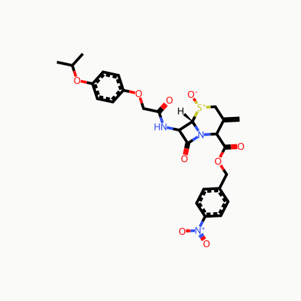 C=C1C[S+]([O-])[C@H]2C(NC(=O)COc3ccc(OC(C)C)cc3)C(=O)N2C1C(=O)OCc1ccc([N+](=O)[O-])cc1